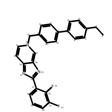 CCc1ccc(-c2ccc(Cn3ccc4nc(-c5cccc(F)c5F)nc-4c3)cc2)cc1